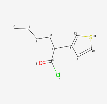 CCCCC(C(=O)Cl)c1ccsc1